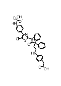 CS(=O)(=O)Nc1ccc(-c2nc(NC(=O)C(CCNc3ccc(CC(=O)O)cc3)(c3ccccc3)c3ccccc3)sc2Cl)cc1